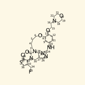 O=C1N2CCCCOc3cc(ccc3OCCN3CCOCC3)Nc3ncc(c2n3)CN1c1c(CF)csc1Cl